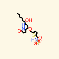 CCCCC[C@@H](O)CCC(OCc1ccc(C(=O)NS(C)(=O)=O)s1)C1CCC(=O)N1